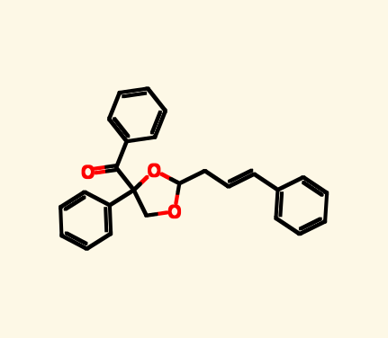 O=C(c1ccccc1)C1(c2ccccc2)COC(C/C=C/c2ccccc2)O1